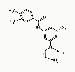 Cc1ccc(C(=O)Nc2cc(N(N)/C=C\N)cc(C(F)(F)F)c2)cc1C